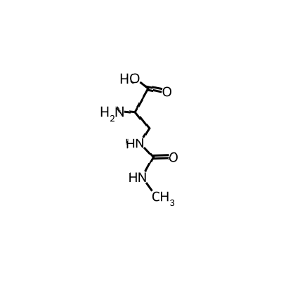 CNC(=O)NCC(N)C(=O)O